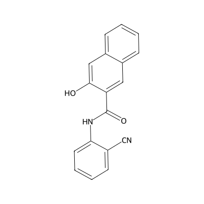 N#Cc1ccccc1NC(=O)c1cc2ccccc2cc1O